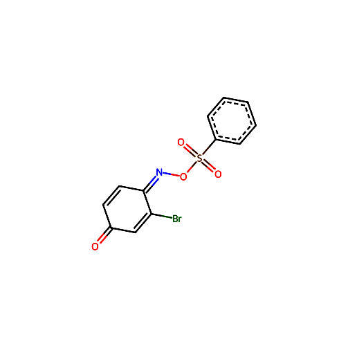 O=C1C=CC(=NOS(=O)(=O)c2ccccc2)C(Br)=C1